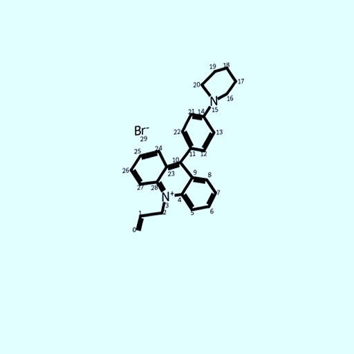 C=CC[n+]1c2ccccc2c(-c2ccc(N3CCCCC3)cc2)c2ccccc21.[Br-]